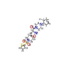 Cc1ccccc1N1CCN(C(=O)C2=NOC3(CCN(S(=O)(=O)c4cccs4)CC3)C2)CC1